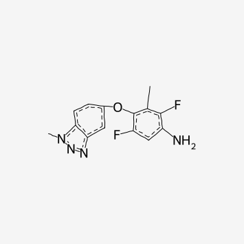 Cc1c(F)c(N)cc(F)c1Oc1ccc2c(c1)nnn2C